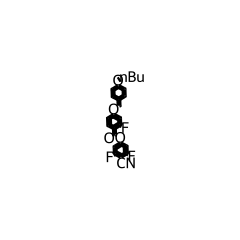 CCCCOC1CCC(COc2ccc(C(=O)Oc3cc(F)c(C#N)c(F)c3)c(F)c2)CC1